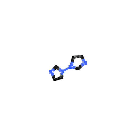 c1cn(-n2ccnc2)cn1